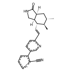 C[C@H]1[C@H](/C=C/c2ccc(-c3ccccc3C#N)cn2)[C@H]2CNC(=O)[C@H]2C[C@@H]1C